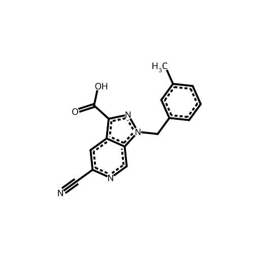 Cc1cccc(Cn2nc(C(=O)O)c3cc(C#N)ncc32)c1